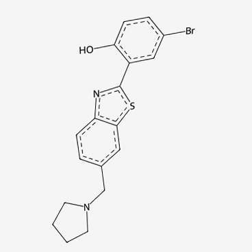 Oc1ccc(Br)cc1-c1nc2ccc(CN3CCCC3)cc2s1